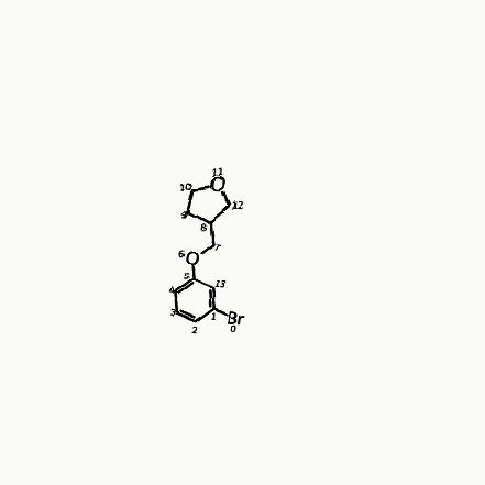 Brc1cccc(OCC2CCOC2)c1